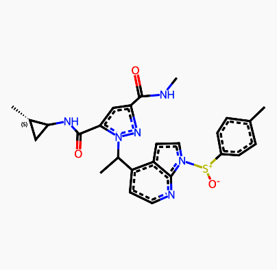 CNC(=O)c1cc(C(=O)NC2C[C@@H]2C)n(C(C)c2ccnc3c2ccn3[S+]([O-])c2ccc(C)cc2)n1